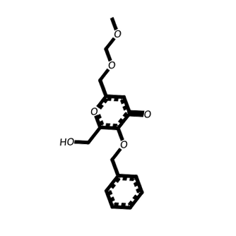 COCOCc1cc(=O)c(OCc2ccccc2)c(CO)o1